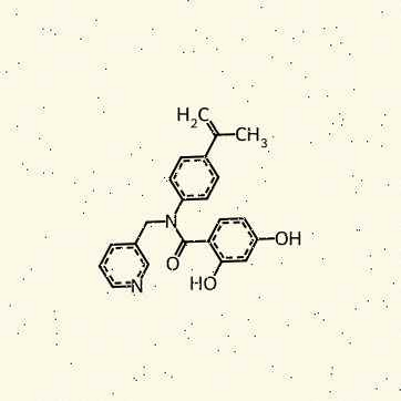 C=C(C)c1ccc(N(Cc2cccnc2)C(=O)c2ccc(O)cc2O)cc1